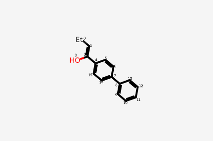 CCC=C(O)c1ccc(-c2ccccc2)cc1